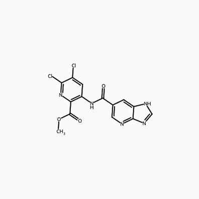 COC(=O)c1nc(Cl)c(Cl)cc1NC(=O)c1cnc2nc[nH]c2c1